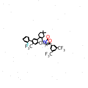 COc1cc(C(F)(F)F)c(-c2ccccc2F)cc1C1=C(CN2C(=O)O[C@H](c3cc(C(F)(F)F)cc(C(F)(F)F)c3)[C@@H]2C)CC(C)(C)CC1